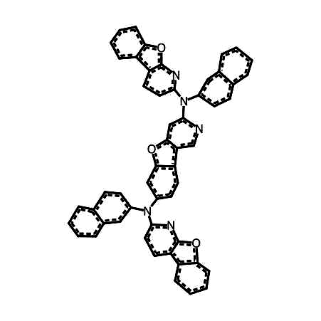 c1ccc2cc(N(c3ccc4c(c3)oc3cc(N(c5ccc6ccccc6c5)c5ccc6c(n5)oc5ccccc56)ncc34)c3ccc4c(n3)oc3ccccc34)ccc2c1